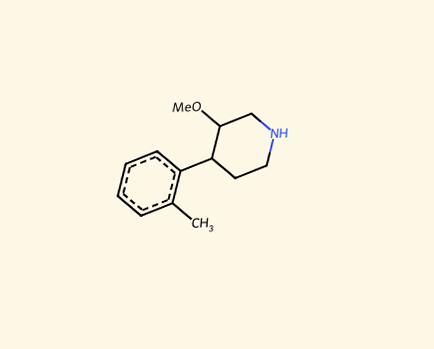 COC1CNCCC1c1ccccc1C